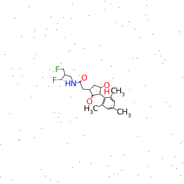 Cc1cc(C)c(C2C(=O)C(CC(=O)NCC(CF)CF)CC2O)c(C)c1